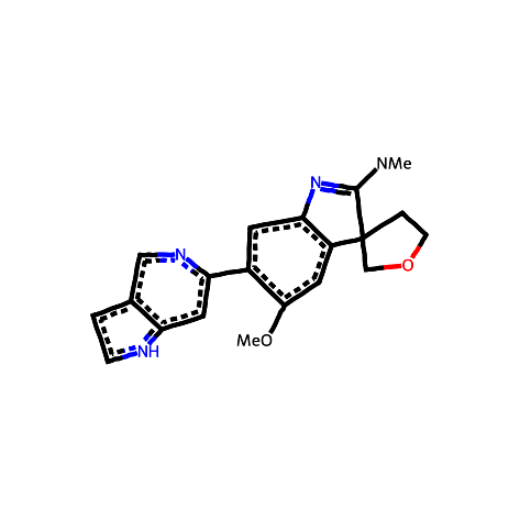 CNC1=Nc2cc(-c3cc4[nH]ccc4cn3)c(OC)cc2C12CCOC2